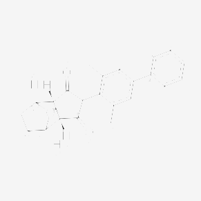 Cc1cc(-c2ccccc2)cc(C)c1C1C(=O)[C@@H]2[C@H](C1=O)[C@H]1CC[C@@H]2O1